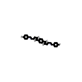 Fc1ccc(/C=C/c2cc3sc4cc5c(cc4c3s2)sc2cc(/C=C/c3ccc(F)cc3)sc25)cc1